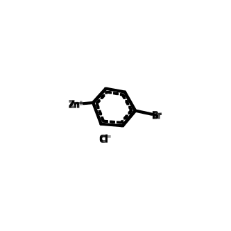 [Cl-].[Zn+][c]1ccc(Br)cc1